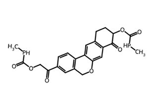 CPC(=O)OCC(=O)c1ccc2c(c1)COc1cc3c(cc1-2)CCC(OC(=O)PC)C3=O